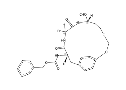 CC(C)[C@@H]1NC(=O)[C@@H](NC(=O)OCc2ccccc2)Cc2ccc(cc2)OCCCC[C@@H](C=O)NC1=O